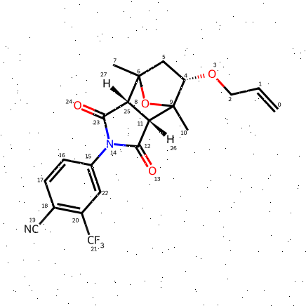 C=CCO[C@H]1CC2(C)OC1(C)[C@@H]1C(=O)N(c3ccc(C#N)c(C(F)(F)F)c3)C(=O)[C@@H]12